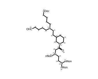 CCCCCCCCCCCCCCN(CCCCC=O)CCC1CCCN(C(=O)CN(CCCCCCCCC)CCN(CCCCCCCCC)CCCCCCCCC)C1